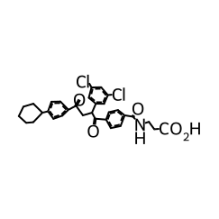 O=C(O)CCNC(=O)c1ccc(C(=O)C(CC(=O)c2ccc(C3CCCCC3)cc2)c2cc(Cl)cc(Cl)c2)cc1